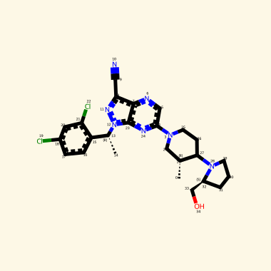 C[C@@H]1CN(c2cnc3c(C#N)nn([C@H](C)c4ccc(Cl)cc4Cl)c3n2)CCC1N1CCC[C@H]1CO